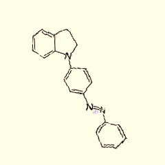 c1ccc(/N=N/c2ccc(N3CCc4ccccc43)cc2)cc1